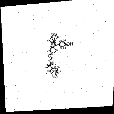 O=C(NCCOc1ccc(C(=C2C3CC4CC(C3)CC2C4)c2ccc(O)cc2)cc1)C1CC2CC3CCC1C(C3)C2